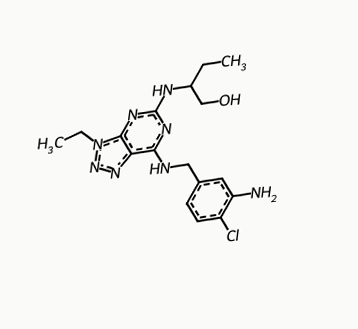 CCC(CO)Nc1nc(NCc2ccc(Cl)c(N)c2)c2nnn(CC)c2n1